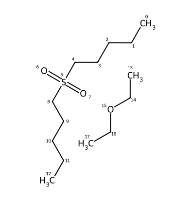 CCCCCS(=O)(=O)CCCCC.CCOCC